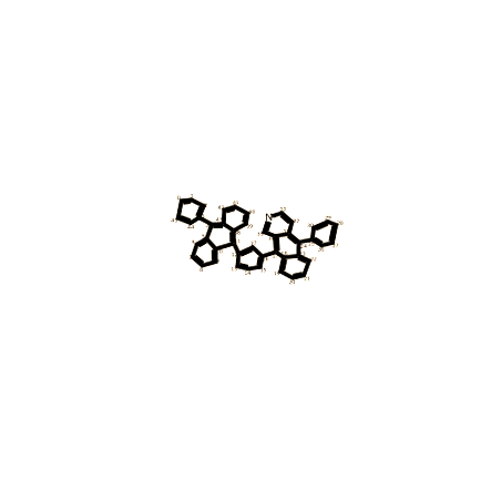 c1ccc(-c2c3ccccc3c(-c3cccc(-c4c5ccccc5c(-c5ccccc5)c5ccncc45)c3)c3ccccc23)cc1